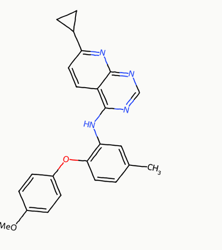 COc1ccc(Oc2ccc(C)cc2Nc2ncnc3nc(C4CC4)ccc23)cc1